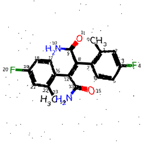 Cc1cc(F)ccc1C(C(N)=O)=C(C(N)=O)c1ccc(F)cc1C